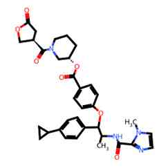 CC(NC(=O)c1nccn1C)C(Oc1ccc(C(=O)O[C@H]2CCCN(C(=O)[C@H]3COC(=O)C3)C2)cc1)c1ccc(C2CC2)cc1